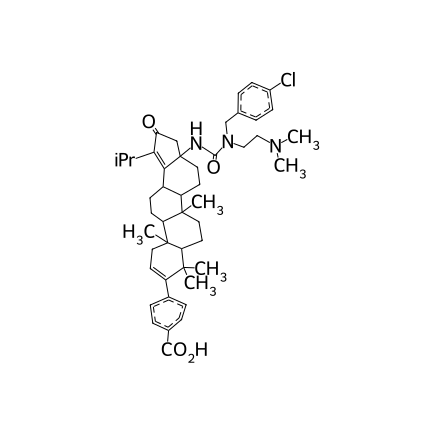 CC(C)C1=C2C3CCC4C(C)(CCC5C(C)(C)C(c6ccc(C(=O)O)cc6)=CCC54C)C3CCC2(NC(=O)N(CCN(C)C)Cc2ccc(Cl)cc2)CC1=O